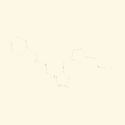 CC(=O)CC1CCN(Cc2cncn2CC(=O)NCc2ccccc2)C1